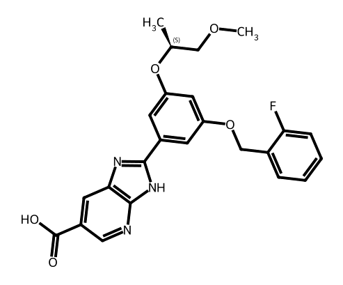 COC[C@H](C)Oc1cc(OCc2ccccc2F)cc(-c2nc3cc(C(=O)O)cnc3[nH]2)c1